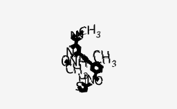 CC(=O)Nc1ncc(-c2cnn(C)c2)cc1C#Cc1cc(C(=O)NCc2ccsc2)ccc1C